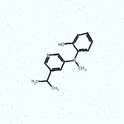 CC(C)c1cncc(N(C)c2cc[c]cc2O)c1